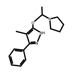 Cc1c(-c2ccccc2)n[nH]c1OC(C)N1CCCC1